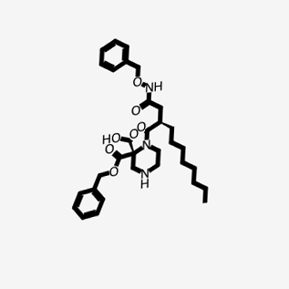 CCCCCCCC[C@H](CC(=O)NOCc1ccccc1)C(=O)N1CCNC[C@]1(C(=O)O)C(=O)OCc1ccccc1